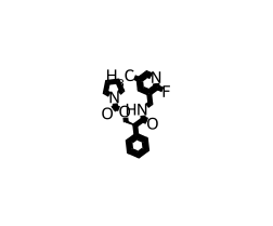 Cc1cnc(F)c(CNC(=O)[C@H](COC(=O)N2CCCC2)c2ccccc2)c1